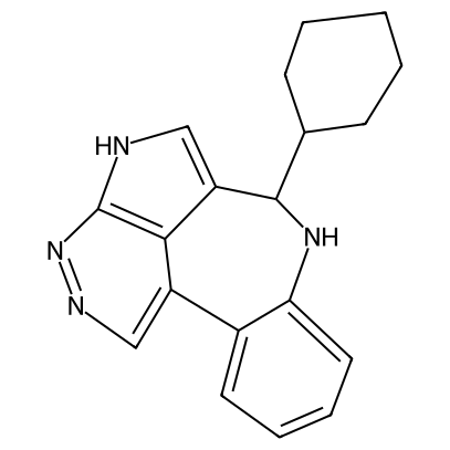 c1ccc2c(c1)NC(C1CCCCC1)c1c[nH]c3nncc-2c13